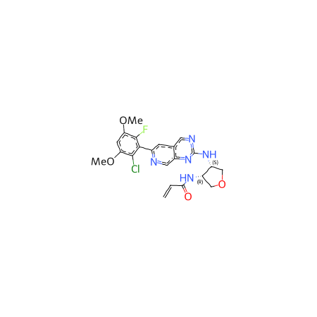 C=CC(=O)N[C@H]1COC[C@H]1Nc1ncc2cc(-c3c(F)c(OC)cc(OC)c3Cl)ncc2n1